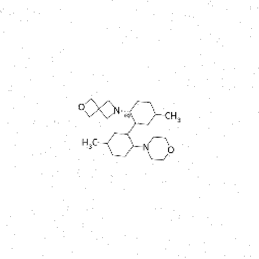 CC1CCC(N2CCOCC2)C(C2CC(C)CC[C@H]2N2CC3(COC3)C2)C1